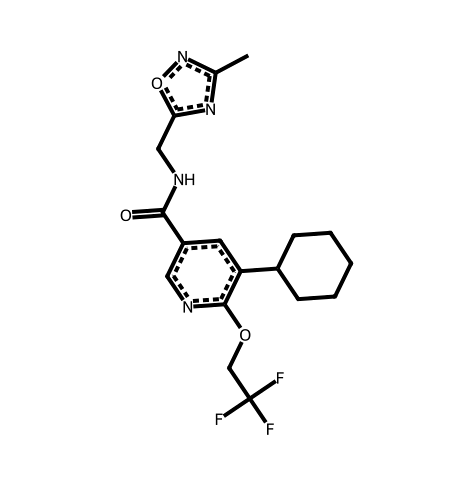 Cc1noc(CNC(=O)c2cnc(OCC(F)(F)F)c(C3CCCCC3)c2)n1